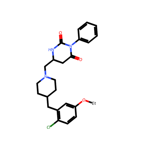 CCOc1ccc(Cl)c(CC2CCN(CC3CC(=O)N(c4ccccc4)C(=O)N3)CC2)c1